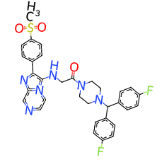 CS(=O)(=O)c1ccc(-c2nc3cnccn3c2NCC(=O)N2CCN(C(c3ccc(F)cc3)c3ccc(F)cc3)CC2)cc1